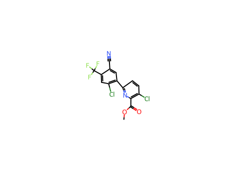 COC(=O)c1nc(-c2cc(C#N)c(C(F)(F)F)cc2Cl)ccc1Cl